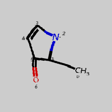 CC1[N][C]=CC1=O